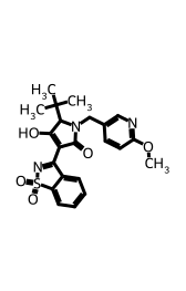 COc1ccc(CN2C(=O)C(C3=NS(=O)(=O)c4ccccc43)=C(O)C2C(C)(C)C)cn1